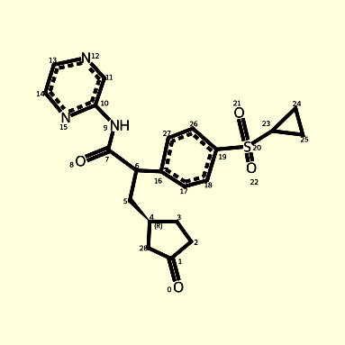 O=C1CC[C@H](CC(C(=O)Nc2cnccn2)c2ccc(S(=O)(=O)C3CC3)cc2)C1